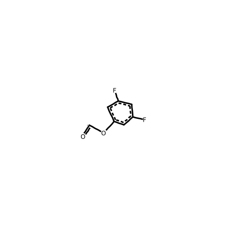 O=[C]Oc1cc(F)cc(F)c1